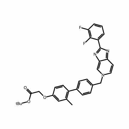 Cc1cc(OCC(=O)OC(C)(C)C)ccc1-c1ccc(Cn2ccc3nc(-c4cccc(F)c4F)nc-3c2)cc1